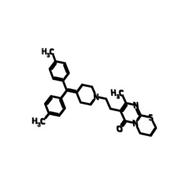 Cc1ccc(C(=C2CCN(CCc3c(C)nc4n(c3=O)CCCS4)CC2)c2ccc(C)cc2)cc1